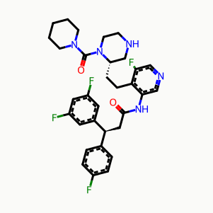 O=C(C[C@@H](c1ccc(F)cc1)c1cc(F)cc(F)c1)Nc1cncc(F)c1CC[C@H]1CNCCN1C(=O)N1CCCCC1